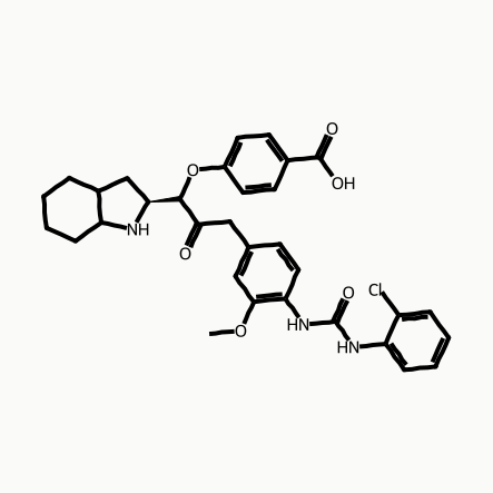 COc1cc(CC(=O)C(Oc2ccc(C(=O)O)cc2)[C@@H]2CC3CCCCC3N2)ccc1NC(=O)Nc1ccccc1Cl